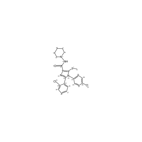 CSc1c(C(=O)NN2CCCCC2)nc(-c2ccccc2Cl)n1-c1ccc(Cl)cc1